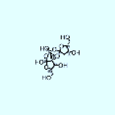 O=P(O)(O[C@]1(O)C[C@H](O)[C@@H](CO)O1)O[C@]1(O)C[C@H](O)[C@@H](CO)O1